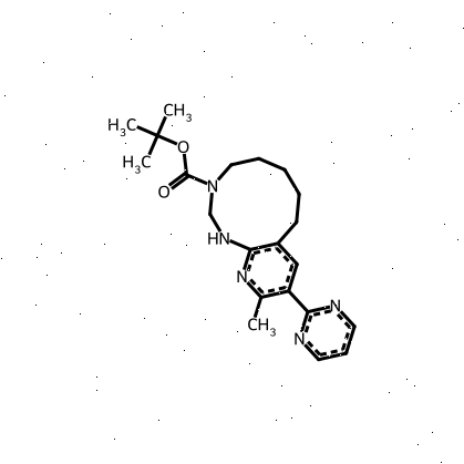 Cc1nc2c(cc1-c1ncccn1)CCCCCN(C(=O)OC(C)(C)C)CN2